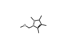 COCN1C(C)=C(C)C(C)N1C